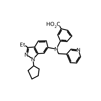 CCc1nn(C2CCCC2)c2cc(N(Cc3cccnc3)c3cccc(C(=O)O)c3)ccc12